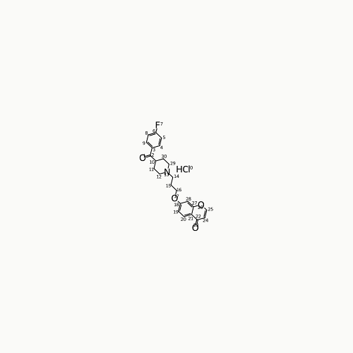 Cl.O=C(c1ccc(F)cc1)C1CCN(CCCOc2ccc3c(=O)ccoc3c2)CC1